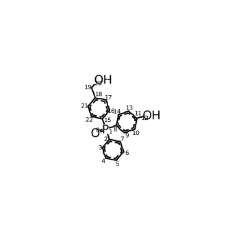 O=P(c1ccccc1)(c1ccc(O)cc1)c1ccc(CO)cc1